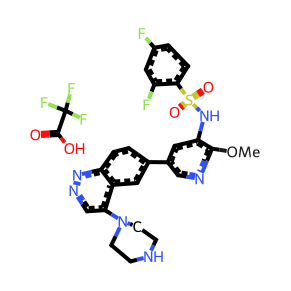 COc1ncc(-c2ccc3nncc(N4CCNCC4)c3c2)cc1NS(=O)(=O)c1ccc(F)cc1F.O=C(O)C(F)(F)F